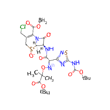 BOC(=O)C1=C(CCl)C[S+]([O-])[C@@H]2[C@H](NC(=O)/C(=N\OC(C)(C)C(=O)OC(C)(C)C)c3nsc(NC(=O)OC(C)(C)C)n3)C(=O)N12